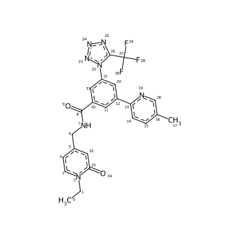 CCn1ccc(CNC(=O)c2cc(-c3ccc(C)cn3)cc(-n3nnnc3C(F)(F)F)c2)cc1=O